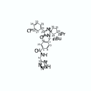 CCCC[C@H](c1ccc(C(=O)NCc2nn[nH]n2)cc1)N1C(=O)C(c2cccc(Cl)c2)=NC12CCC(C(C)C)C2